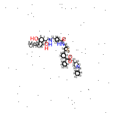 CNc1c(O)ccc(C(O)CNCc2ccc(C(=O)NCc3csc(-c4cccc(C(C(=O)OCC5CCN(Cc6ccccc6)CC5)c5ccccc5)c4)c3)cc2)c1/C=C\C=O